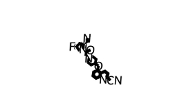 CN=C[C@@H]1C[C@H](F)CN1C(=O)CN1CCC(Oc2cccc3nc(C#N)ccc23)CC1